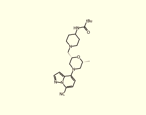 C[C@@H]1CN(c2ccc(C#N)n3nccc23)C[C@H](CN2CCC(NC(=O)C(C)(C)C)CC2)O1